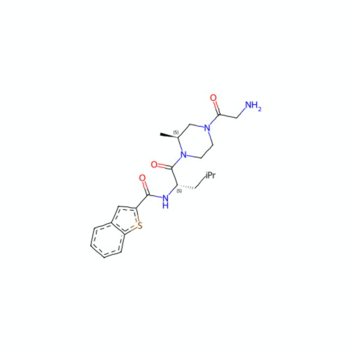 CC(C)C[C@H](NC(=O)c1cc2ccccc2s1)C(=O)N1CCN(C(=O)CN)C[C@@H]1C